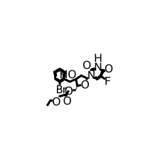 CCOCC(=O)OC[C@H]1O[C@@H](n2cc(F)c(=O)[nH]c2=O)C[C@@]1(O)Cc1ccccc1Br